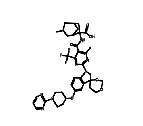 Cc1nc(N2CC3(CCOCC3)c3cc(OC4CCN(c5ncccn5)CC4)ccc32)nc(C(F)(F)F)c1C(=O)NC1(C(=O)O)CC2CC(C)CC1C2